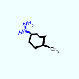 CC1CCC(NN)CC1